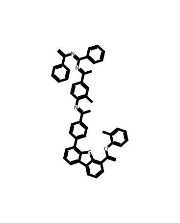 C=C(/N=C(\N=C(/C)c1ccc(/N=C(\C)c2ccc(-c3cccc4c3sc3c(C(=C)Oc5ccccc5C)cccc34)cc2)c(C)c1)c1ccccc1)c1ccccc1